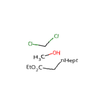 CCCCCCCCC(=O)OCC.CO.ClCCl